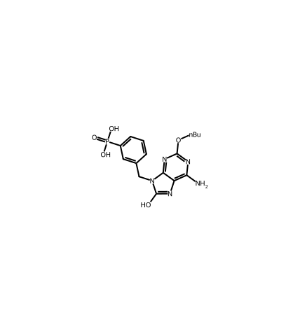 CCCCOc1nc(N)c2nc(O)n(Cc3cccc(P(=O)(O)O)c3)c2n1